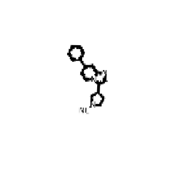 N#CN1CCC(c2cnc3cc(-c4ccccc4)ccn23)C1